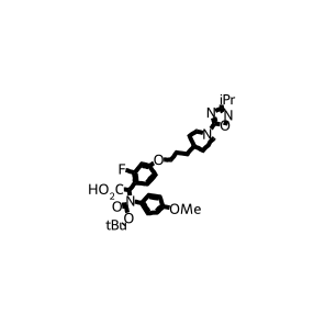 COc1ccc(N(C(=O)OC(C)(C)C)C(C(=O)O)c2ccc(OCCCC3CCN(c4nc(C(C)C)no4)CC3)cc2F)cc1